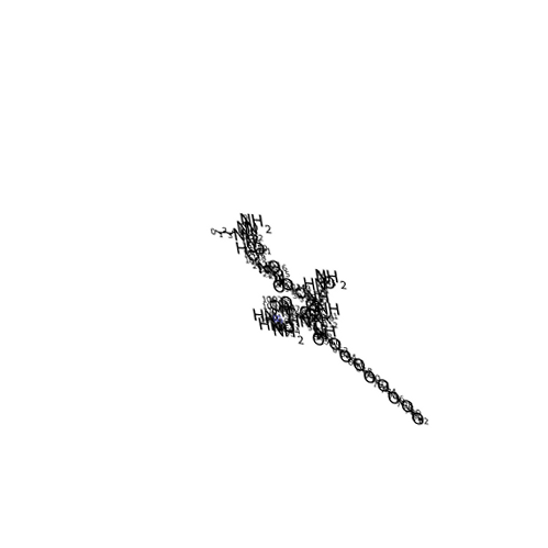 CCCCCNc1nc(N)nc2ccn(Cc3ccc(CN4CC5(C4)CN(C(=O)OCc4ccc(NC(=O)C(CCCNC(N)=O)NC(=O)[C@@H](NC(=O)[C@H](CNC(=O)CCOCCOCCOCCOCCOCCOCCOCCOC)NC(=O)CCC(=O)N6Cc7ccccc7/C(NN)=C(/NC)c7ccccc76)C(C)C)cc4)CCO5)cc3OC)c12